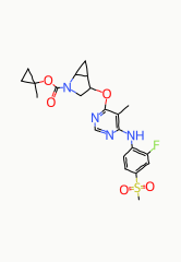 Cc1c(Nc2ccc(S(C)(=O)=O)cc2F)ncnc1OC1CN(C(=O)OC2(C)CC2)C2CC12